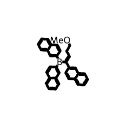 COCC/C=C(\B(c1ccc2ccccc2c1)c1ccc2ccccc2c1)c1ccc2ccccc2c1